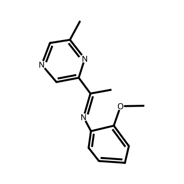 COc1ccccc1N=C(C)c1cncc(C)n1